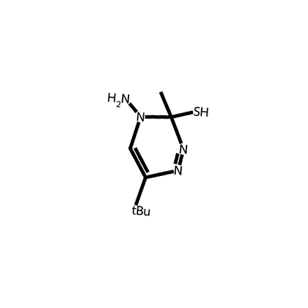 CC(C)(C)C1=CN(N)C(C)(S)N=N1